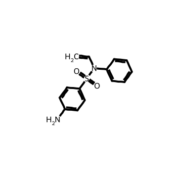 C=CN(c1ccccc1)S(=O)(=O)c1ccc(N)cc1